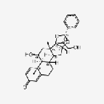 C[C@]12C=CC(=O)C=C1CC[C@@H]1[C@@H]2[C@@H](O)C[C@@]2(C)[C@H]1C[C@H]1O[C@@H](c3ccccc3)O[C@]12C(=O)CO